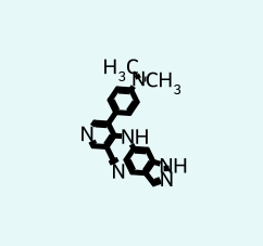 CN(C)c1ccc(-c2cncc(C#N)c2Nc2ccc3cn[nH]c3c2)cc1